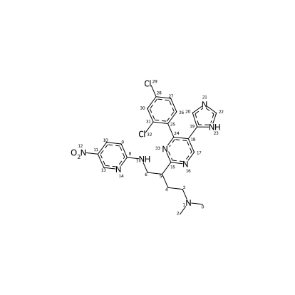 CN(C)CC[C](CNc1ccc([N+](=O)[O-])cn1)c1ncc(-c2cnc[nH]2)c(-c2ccc(Cl)cc2Cl)n1